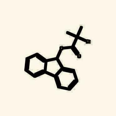 CCC(C)(C)C(=O)OC1c2ccccc2-c2ccccc21